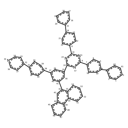 c1ccc(-c2ccc(-c3nc(-c4ccc(-c5ccccc5)cc4)nc(-c4cc(-c5ccc(-c6ccncc6)cc5)cc(-c5cc6ccccc6c6ccccc56)c4)n3)cc2)cc1